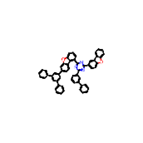 c1ccc(-c2cc(-c3ccccc3)cc(-c3ccc4c(c3)oc3cccc(-c5nc(-c6cccc(-c7ccccc7)c6)nc(-c6ccc7oc8ccccc8c7c6)n5)c34)c2)cc1